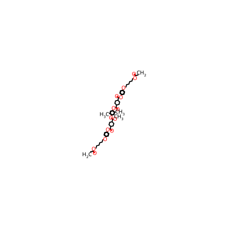 C=CC(=O)OCCCCCCOc1ccc(OC(=O)C2CCC(C(=O)Oc3cc(C)c(OC(=O)C4CCC(C(=O)Oc5ccc(OCCCCCCOC(=O)C=C)cc5)CC4)c(C)c3C)CC2)cc1